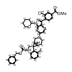 COC(=O)c1ccc(-c2nn(C3CCCCO3)c3nc(N4CC[C@@H]5[C@H](C4)[C@@]5(CNC(=O)OCc4ccccc4)c4ccccc4F)cnc23)c(Cl)c1